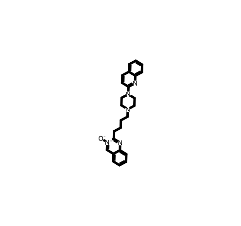 [O-][n+]1cc2ccccc2nc1CCCCN1CCN(c2ccc3ccccc3n2)CC1